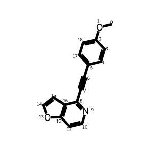 COc1ccc(C#Cc2nccc3occc23)cc1